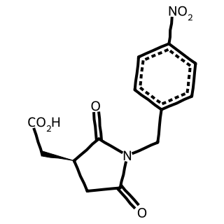 O=C(O)C[C@@H]1CC(=O)N(Cc2ccc([N+](=O)[O-])cc2)C1=O